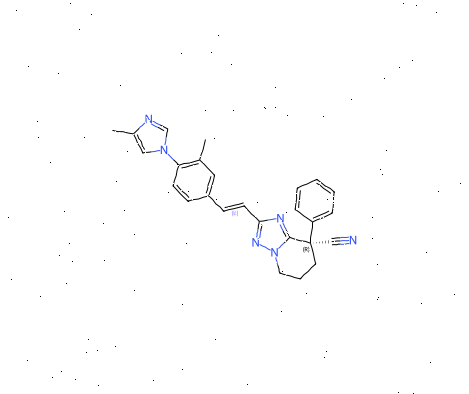 Cc1cn(-c2ccc(/C=C/c3nc4n(n3)CCC[C@]4(C#N)c3ccccc3)cc2C)cn1